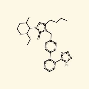 CCCCc1cn(C2C(C)CCCC2CC)c(=O)n1Cc1ccc(-c2ccccc2-c2nnn[nH]2)cn1